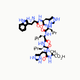 CC(C)C[C@H](NC(=O)[C@H](CC(C)C)NC(=O)[C@H](CC(C)C)NC(=O)[C@H](CC1=CNCN1)NC(=O)[C@@H](N)Cc1c[nH]c2ccccc12)C(=O)NC(CC1=CNCN1)C(=O)N[C@@H](C)C(=O)O